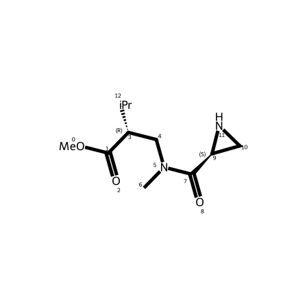 COC(=O)[C@@H](CN(C)C(=O)[C@@H]1CN1)C(C)C